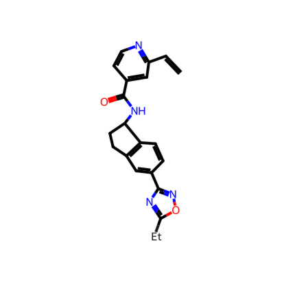 C=Cc1cc(C(=O)NC2CCc3cc(-c4noc(CC)n4)ccc32)ccn1